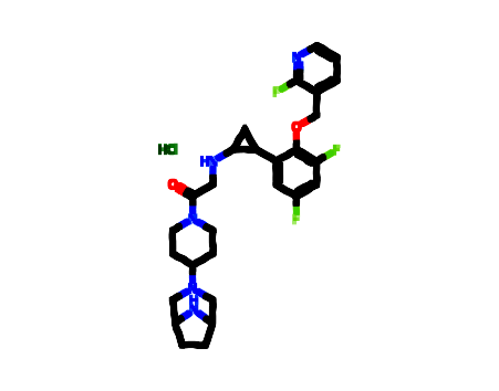 Cl.O=C(CNC1CC1c1cc(F)cc(F)c1OCc1cccnc1F)N1CCC(N2CC3CCC(C2)N3)CC1